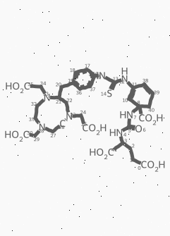 O=C(O)CCC(NC(=O)NC1(C(=O)O)C=C(NC(=S)Nc2ccc(CC3CN(CC(=O)O)CCN(CC(=O)O)CCN3CC(=O)O)cc2)C=CC1)C(=O)O